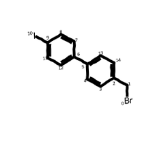 BrCc1ccc(-c2ccc(I)cc2)cc1